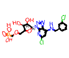 O=P(O)(O)COCC1O[C@@H](n2nnc3c(NCc4cccc(Cl)c4)cc(Cl)nc32)[C@H](O)[C@@H]1O